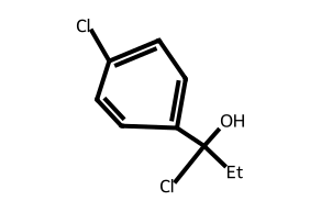 CCC(O)(Cl)c1ccc(Cl)cc1